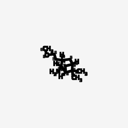 COCC[C@H]1C[C@H]2C[C@@H]([C@@H]1N)C2(C)C